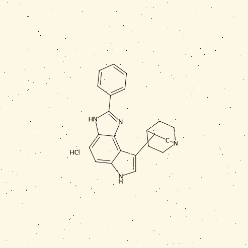 Cl.c1ccc(-c2nc3c(ccc4[nH]cc(C5CN6CCC5CC6)c43)[nH]2)cc1